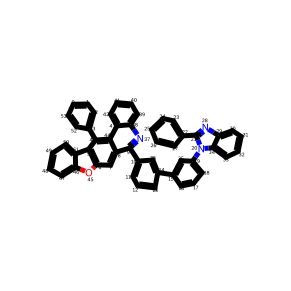 c1ccc(-c2c3c(cc4c(-c5cccc(-c6cccc(-n7c(-c8ccccc8)nc8ccccc87)c6)c5)nc5ccccc5c24)oc2ccccc23)cc1